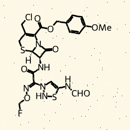 COc1ccc(COC(=O)C2=C(CCl)CS[C@@H]3[C@H](NC(=O)/C(=N/OCF)N4C=C(NC=O)SN4)C(=O)N23)cc1